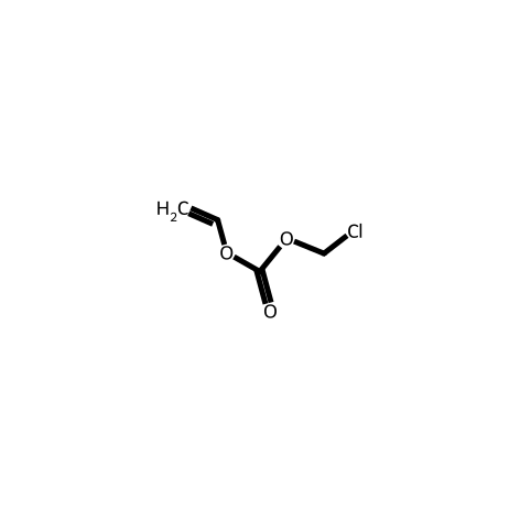 C=COC(=O)OCCl